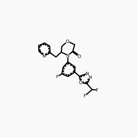 O=C1COCC(Cc2ccccn2)N1c1cc(F)cc(-c2nnc(C(F)F)o2)c1